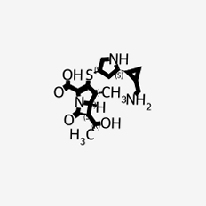 C[C@@H](O)[C@H]1C(=O)N2C(C(=O)O)=C(S[C@@H]3CN[C@H](C4CC4CN)C3)[C@H](C)[C@H]12